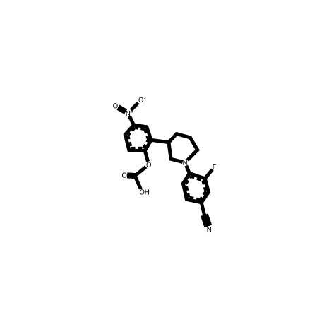 N#Cc1ccc(N2CCCC(c3cc([N+](=O)[O-])ccc3OC(=O)O)C2)c(F)c1